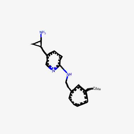 COc1cccc(CNc2ccc(C3CC3N)cn2)c1